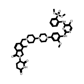 COc1cc(N2CCN(C3CCN(Cc4ccc5c(c4F)CN(C4CCC(=O)NC4=O)C5=O)CC3)CC2)ccc1Nc1ncc(Cl)c(Nc2ccccc2P(=O)(OC)OC)n1